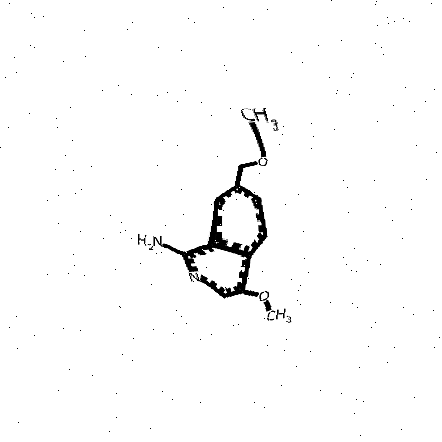 COCc1ccc2c(OC)cnc(N)c2c1